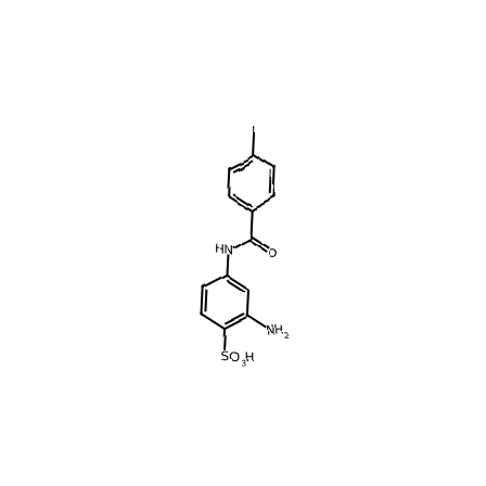 Cc1ccc(C(=O)Nc2ccc(S(=O)(=O)O)c(N)c2)cc1